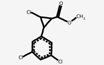 COC(=O)C1C(Cl)C1c1cc(Cl)cc(Cl)c1